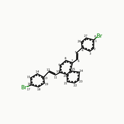 Brc1ccc(/C=C/c2ccc(/C=C/c3ccc(Br)cc3)c3ccccc23)cc1